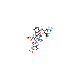 COc1ccc(CN2C(=O)N(CCO)C3(CC[C@@](CO[C@H](C)c4cc(C(F)(F)F)cc(C(F)(F)F)c4)(c4ccccc4)NC3)C2=O)cc1